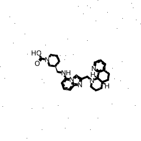 O=C(O)N1CCC[C@@H](CNc2cccc3nc(CN4CCC[C@H]5CCc6cccnc6[C@H]54)cn23)C1